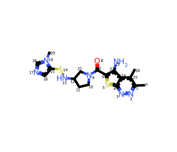 Cc1nnc2sc(C(=O)N3CCC(NSc4cncn4C)C3)c(N)c2c1C